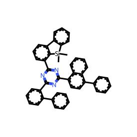 C[Si]1(C)c2ccccc2-c2cccc(-c3nc(-c4ccccc4-c4ccccc4)nc(-c4ccc(-c5ccccc5)c5ccccc45)n3)c21